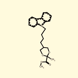 COC(=O)C1(C)OCC(CCCCn2c3ccccc3c3ccccc32)CO1